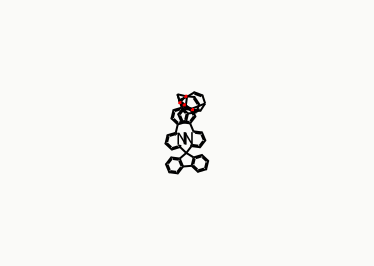 C1=CC2C3C=CC1c1cc(-c4cccc(C5(c6cccc(-c7ccc8c(c7)C7C=CC9C(C=C7)C89)n6)c6ccccc6-c6ccccc65)n4)ccc1C23